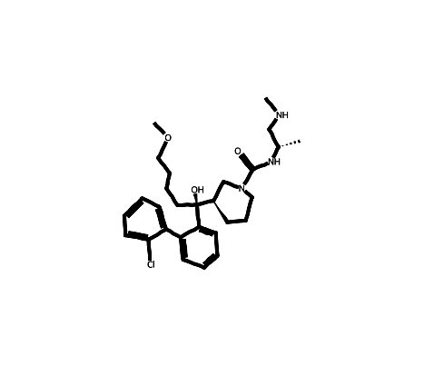 CNC[C@H](C)NC(=O)N1CCC[C@@H]([C@@](O)(CCCCOC)c2ccccc2-c2ccccc2Cl)C1